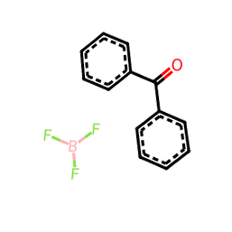 FB(F)F.O=C(c1ccccc1)c1ccccc1